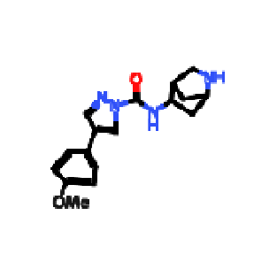 COc1ccc(-c2cnn(C(=O)NC3CC4CC3CN4)c2)cc1